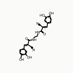 N#C/C(=C\c1ccc(O)c(O)c1)C(=O)NCCNC(=O)/C(C#N)=C/c1ccc(O)c(O)c1